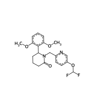 COc1cccc(OC)c1C1CCCC(=O)N1Cc1ccc(OC(F)F)cn1